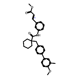 COC(=O)/C=C/c1cccc(NC(=O)C2(Cc3ccc(-c4ccc(OC)c(C)c4)cc3)CCCCC2)c1